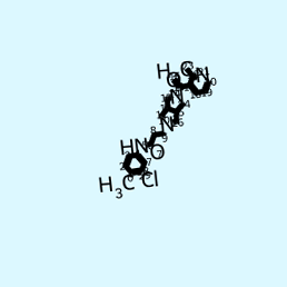 Cc1ccc(NC(=O)CCN2CC3CN(C(=O)c4cccnc4C)CC3C2)cc1Cl